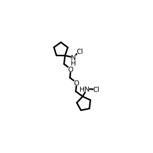 ClNC1(COCOCC2(NCl)CCCC2)CCCC1